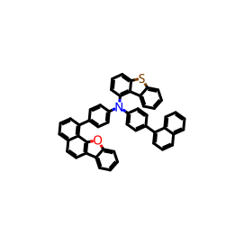 c1ccc2c(-c3ccc(N(c4ccc(-c5cccc6ccc7c8ccccc8oc7c56)cc4)c4cccc5sc6ccccc6c45)cc3)cccc2c1